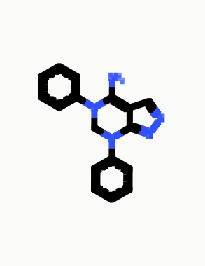 NC1=C2C=NN=C2N(c2ccccc2)CN1c1ccccc1